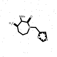 C=C1CCCN(Cc2cncs2)C(=O)C1NC